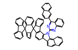 c1ccc2c(c1)-c1ccccc1C21c2ccccc2C2(c3ccccc3-c3c2ccc2c4ccc5ccccc5c4n(-c4nc(-c5ccc6ccccc6c5)c5ccccc5n4)c32)c2ccccc21